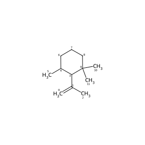 C=C(C)C1C(C)CCCC1(C)C